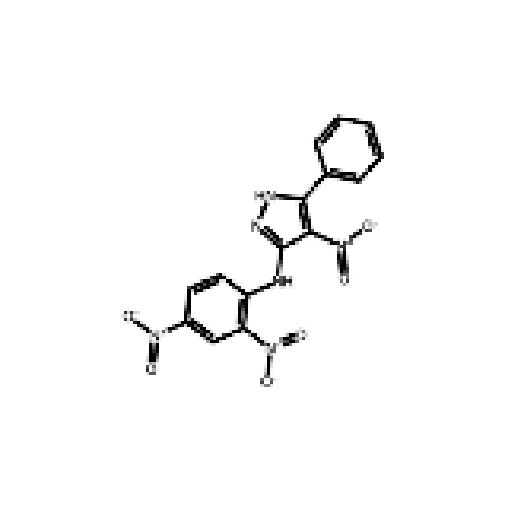 O=[N+]([O-])c1ccc(Nc2n[nH]c(-c3ccccc3)c2[N+](=O)[O-])c([N+](=O)[O-])c1